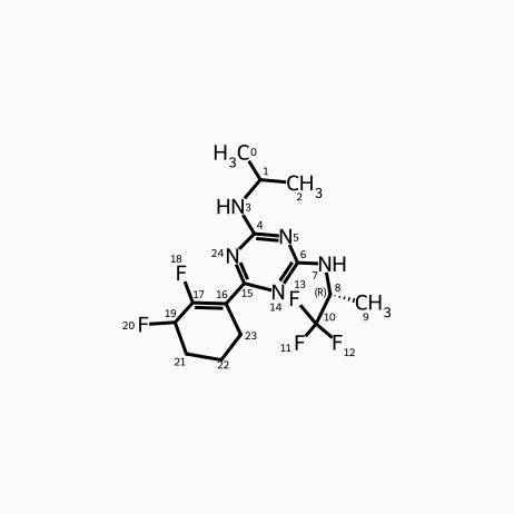 CC(C)Nc1nc(N[C@H](C)C(F)(F)F)nc(C2=C(F)C(F)CCC2)n1